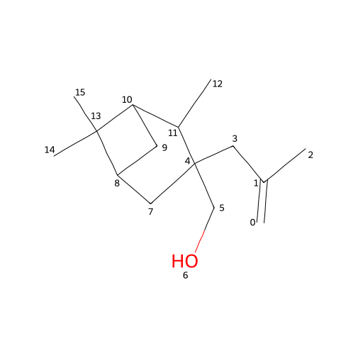 C=C(C)CC1(CO)CC2CC(C1C)C2(C)C